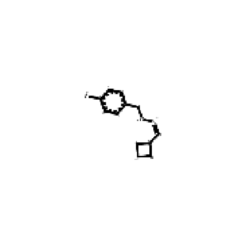 Clc1ccc(CO/N=[C]\C2CCC2)cc1